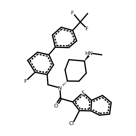 CN[C@H]1CC[C@H](N(Cc2cc(-c3ccc(C(C)(F)F)cc3)ccc2F)C(=O)c2sc3ccccc3c2Cl)CC1